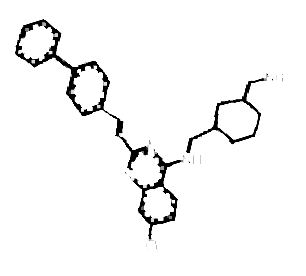 NCC1CCCC(CNc2nc(C=Cc3ccc(-c4ccccc4)cc3)nc3cc(Cl)ccc23)C1